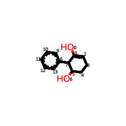 OC1=CCCC(O)C1c1ccccc1